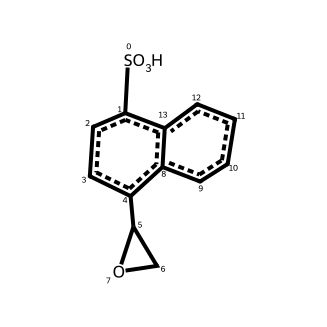 O=S(=O)(O)c1ccc(C2CO2)c2ccccc12